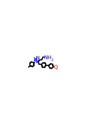 COc1ccc(-c2ccc(Cc3c(CCN)nnn3-c3ccc(C)cc3)cc2)cc1